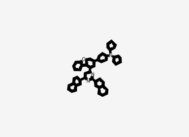 c1ccc(N(c2ccccc2)c2ccc(-c3cc(-c4cc(-c5ccc6ccccc6c5)nc(-c5ccc6ccccc6c5)n4)c4c(c3)oc3ccccc34)cc2)cc1